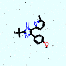 COc1ccc(-c2nc(C(C)(C)C)[nH]c2-c2cccc(C)n2)cc1